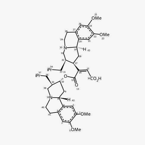 COc1cc2c(cc1OC)[C@H]1C[C@@H](OC(=O)/C(=C\C(=O)O)[C@@H]3C[C@@H]4c5cc(OC)c(OC)cc5CCN4C[C@@H]3CC(C)C)[C@H](CC(C)C)CN1CC2